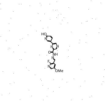 COc1cnc(F)c(/C=N/NC(=O)c2cncc(-c3ccc(O)nc3)n2)c1